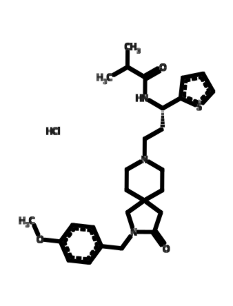 COc1ccc(CN2CC3(CCN(CC[C@H](NC(=O)C(C)C)c4cccs4)CC3)CC2=O)cc1.Cl